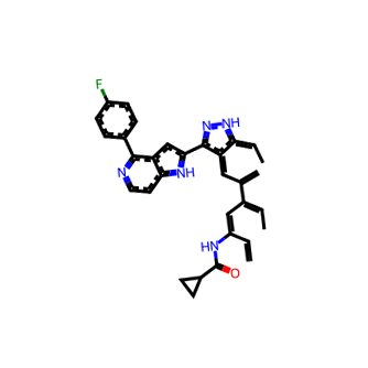 C=C/C(=C\C(=C/C)C(=C)/C=c1/c(-c2cc3c(-c4ccc(F)cc4)nccc3[nH]2)n[nH]/c1=C/C)NC(=O)C1CC1